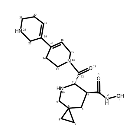 O=C(NO)[C@H]1CC2(CC2)CN[C@@H]1C(=O)N1CC=C(C2=CCCNC2)CC1